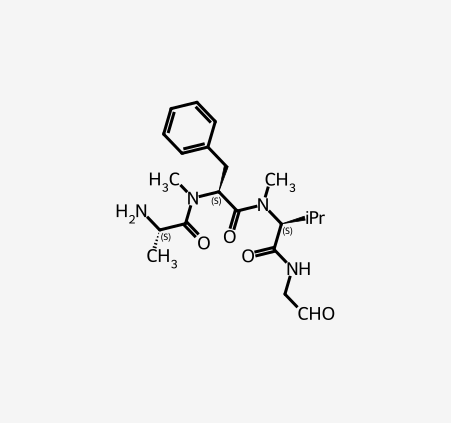 CC(C)[C@@H](C(=O)NCC=O)N(C)C(=O)[C@H](Cc1ccccc1)N(C)C(=O)[C@H](C)N